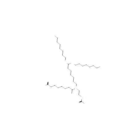 CCCCCCCCOC(CCCCCCN(CCNC(C)=O)C(C)CCCCCCC(=O)O)OCCCCCCCC